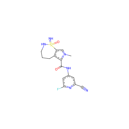 Cn1cc2c(c1C(=O)Nc1cc(F)nc(C#N)c1)CCCNS2(=N)=O